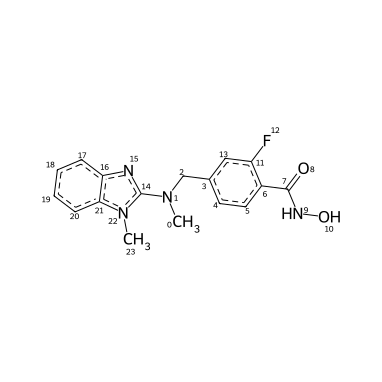 CN(Cc1ccc(C(=O)NO)c(F)c1)c1nc2ccccc2n1C